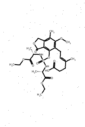 CCOC(=O)[C@H](C)NP(=O)(N[C@@H](C)C(=O)OCC)Oc1c(C/C=C(\C)CCC(=O)O)c(OC)c(C)c2c1C(=O)OC2